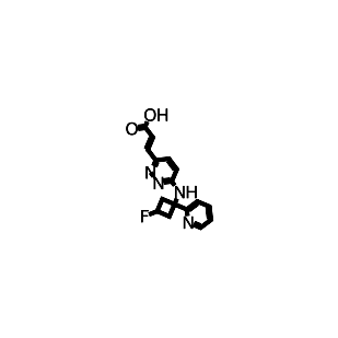 O=C(O)C=Cc1ccc(NC2(c3ccccn3)CC(F)C2)nn1